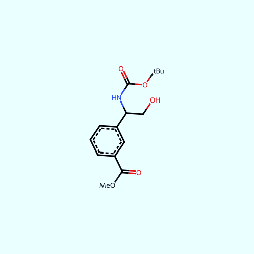 COC(=O)c1cccc(C(CO)NC(=O)OC(C)(C)C)c1